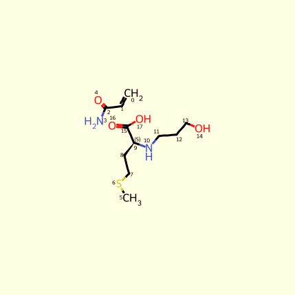 C=CC(N)=O.CSCC[C@H](NCCCO)C(=O)O